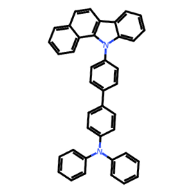 c1ccc(N(c2ccccc2)c2ccc(-c3ccc(-n4c5ccccc5c5ccc6ccccc6c54)cc3)cc2)cc1